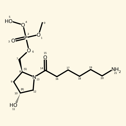 COP(=O)(OO)OC[C@@H]1C[C@@H](O)CN1C(=O)CCCCCN